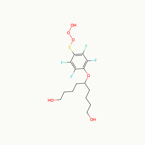 OCCCCC(CCCCO)Oc1c(F)c(F)c(SOOO)c(F)c1F